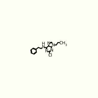 CCCN1C=NC2C(NCCc3ccccc3)=NC(Cl)=NC21